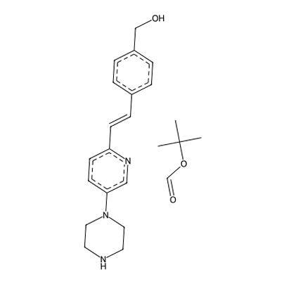 CC(C)(C)OC=O.OCc1ccc(C=Cc2ccc(N3CCNCC3)cn2)cc1